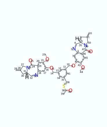 C=C1C[C@H]2C=Nc3cc(OCc4cc(COc5cc6c(cc5OC)C(=O)N5CC(=C)C[C@H]5C=N6)cc(CSC(C)=O)c4)c(OC)cc3C(=O)N2C1